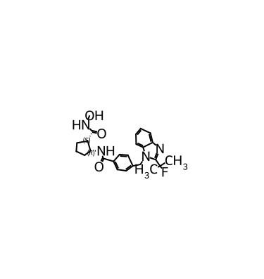 CC(C)(F)c1nc2ccccc2n1Cc1ccc(C(=O)N[C@@H]2CCC[C@@H]2C(=O)NO)cc1